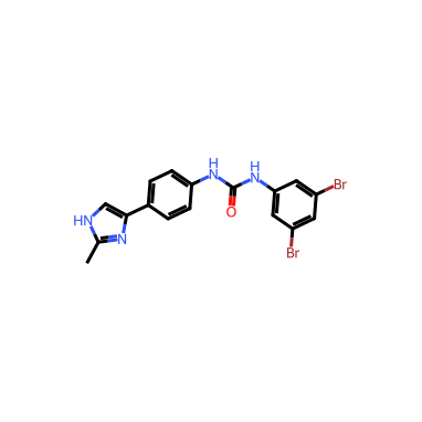 Cc1nc(-c2ccc(NC(=O)Nc3cc(Br)cc(Br)c3)cc2)c[nH]1